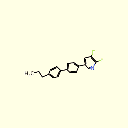 CCCc1ccc(-c2ccc(-c3cnc(F)c(F)c3)cc2)cc1